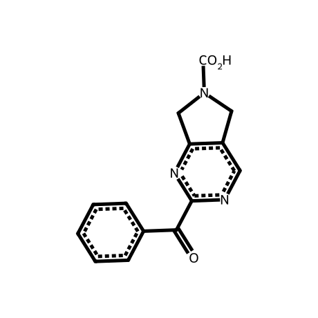 O=C(c1ccccc1)c1ncc2c(n1)CN(C(=O)O)C2